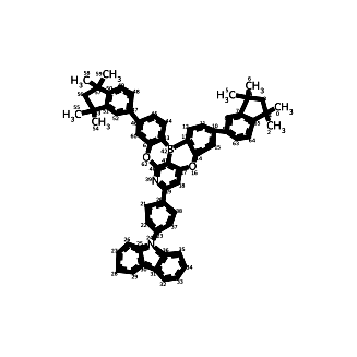 CC1(C)CC(C)(C)c2cc(-c3ccc4c(c3)Oc3cc(-c5ccc(-n6c7ccccc7c7ccccc76)cc5)nc5c3B4c3ccc(-c4ccc6c(c4)C(C)(C)CC6(C)C)cc3O5)ccc21